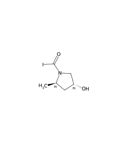 C[C@@H]1C[C@@H](O)CN1C(=O)I